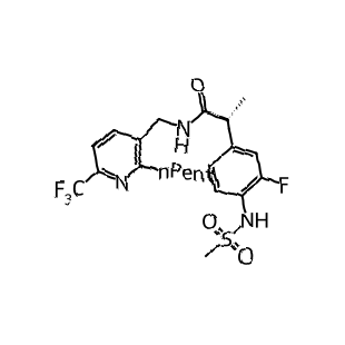 CCCCCc1nc(C(F)(F)F)ccc1CNC(=O)[C@H](C)c1ccc(NS(C)(=O)=O)c(F)c1